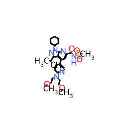 COCCN(CCOC)c1ccc(-c2cc(C(=O)NS(C)(=O)=O)nc3c2c(C(C)C)nn3C2CCCCC2)cn1